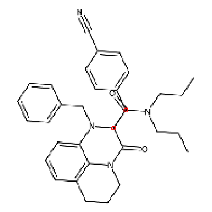 CCCN(CCC)C(=O)CN(Cc1ccccc1)c1cccc2c1N(C(=O)CCc1ccc(C#N)cc1)CCC2